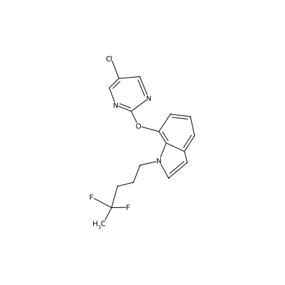 CC(F)(F)CCCn1ccc2cccc(Oc3ncc(Cl)cn3)c21